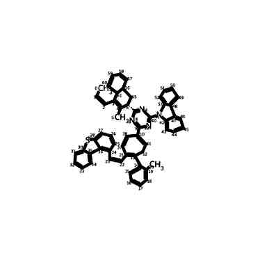 C/C=C\C1=C(C)[C@@H](c2nc(C3=CCC(c4ccccc4C)=C(/C=C\c4cccc5sc6ccccc6c45)C=C3)nc(-n3c4ccccc4c4ccccc43)n2)CC2C=CC=CC12